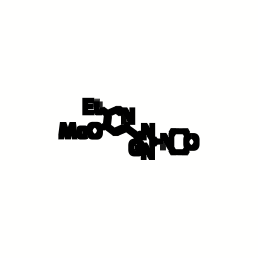 CCc1cnc(-c2nc(N3CCOCC3)no2)cc1OC